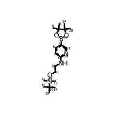 CC1(C)OB(c2ccc(NCCO[Si](C)(C)C(C)(C)C)nc2)OC1(C)C